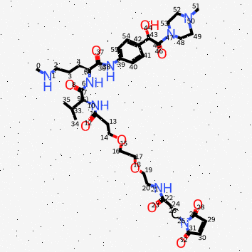 CNCCC[C@H](NC(=O)[C@@H](NC(=O)CCOCCOCCNC(=O)CCN1C(=O)C=CC1=O)C(C)C)C(=O)Nc1ccc(C(O)C(=O)N2CCN(C)CC2)cc1